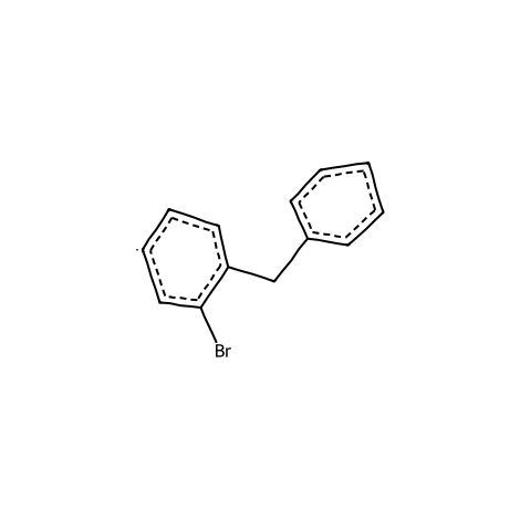 Brc1c[c]ccc1Cc1ccccc1